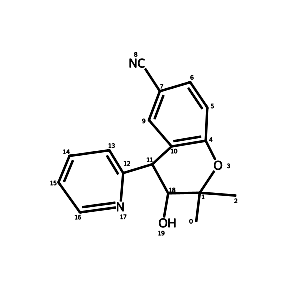 CC1(C)Oc2ccc(C#N)cc2C(c2ccccn2)C1O